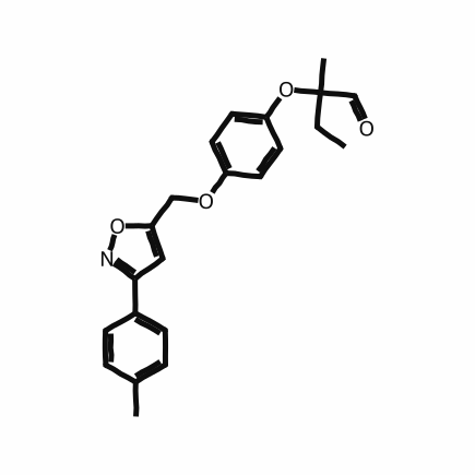 CCC(C)(C=O)Oc1ccc(OCc2cc(-c3ccc(C)cc3)no2)cc1